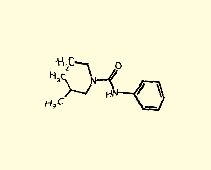 [CH2]CN(CC(C)C)C(=O)Nc1ccccc1